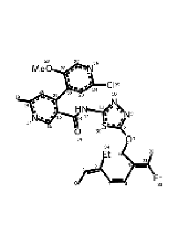 C\C=C(/C=C\C(COc1nnc(NC(=O)c2cnc(C)cc2-c2cc(Cl)ncc2OC)s1)=C(\C)CC)CC